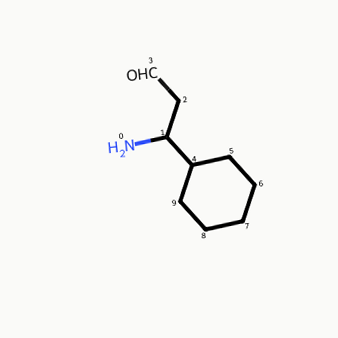 NC(CC=O)C1CCCCC1